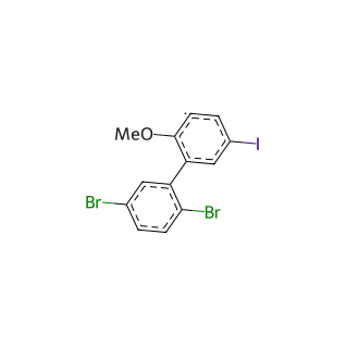 COc1[c]cc(I)cc1-c1cc(Br)ccc1Br